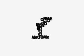 CCc1cc2c(C(=O)NC)c(-c3ccc(F)cc3)oc2nc1N(CCCc1ccc(OC)c(OC)c1)[SH](=O)=O